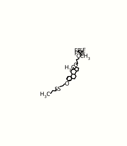 CCCCSSCCCOc1ccc2c(c1)CCC1C2CCC2(C)C(OCCCOC(C)(C(F)(F)F)C(F)(F)F)CCC12